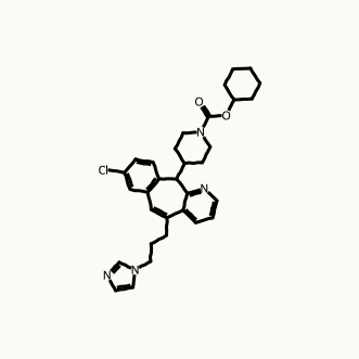 O=C(OC1CCCCC1)N1CCC(C2c3ccc(Cl)cc3C=C(CCCn3ccnc3)c3cccnc32)CC1